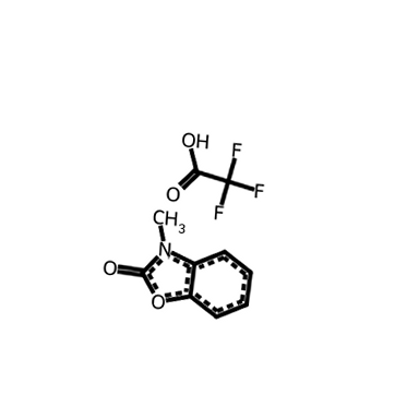 Cn1c(=O)oc2ccccc21.O=C(O)C(F)(F)F